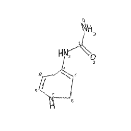 NC(=O)NC1=CCNC=C1